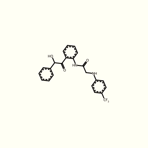 O=C(CNc1ccc(C(F)(F)F)cc1)Nc1ccccc1C(=O)C(O)c1ccccc1